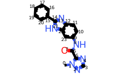 Cn1ncnc1C(=O)Nc1ccc2nc(-c3ccccc3)[nH]c2c1